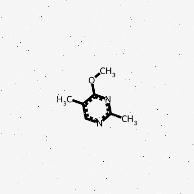 COc1nc(C)ncc1C